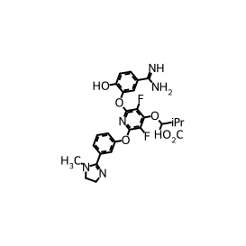 CC(C)C(Oc1c(F)c(Oc2cccc(C3=NCCN3C)c2)nc(Oc2cc(C(=N)N)ccc2O)c1F)C(=O)O